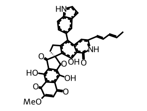 C/C=C/C=C/c1cc2c(-c3ccc4[nH]ccc4c3)c3c(c(O)c2c(=O)[nH]1)[C@@]1(CC3)C(=O)c2c(O)c3c(c(O)c2C1=O)C(=O)C(OC)=CC3=O